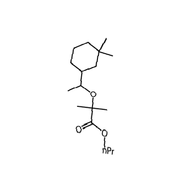 CCCOC(=O)C(C)(C)OC(C)C1CCCC(C)(C)C1